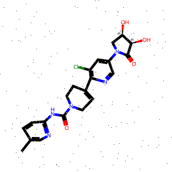 Cc1ccc(NC(=O)N2CC=C(c3ncc(N4C[C@@H](O)[C@@H](O)C4=O)cc3Cl)CC2)nc1